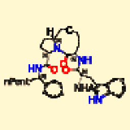 CCCCC[C@@H](NC(=O)[C@@H]1CC[C@@H]2CCCC[C@H](NC(=O)[C@H](Cc3c[nH]c4ccccc34)NC(C)=O)C(=O)N21)c1ccccc1